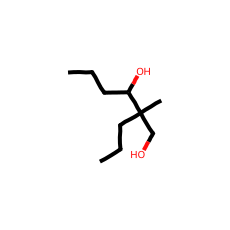 CCCC(O)C(C)(CO)CCC